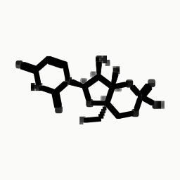 C[C@@H]1[C@H](n2ccc(=O)[nH]c2=O)O[C@]2(CF)COP(=O)(O)O[C@@H]12